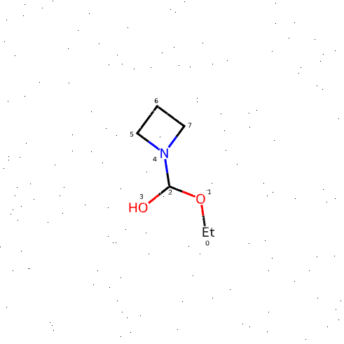 CCOC(O)N1CCC1